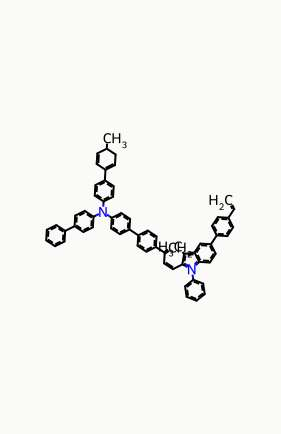 C=Cc1ccc(-c2ccc3c(c2)c(C)c(/C=C\C(=C)c2ccc(-c4ccc(N(c5ccc(C6=CCC(C)C=C6)cc5)c5ccc(-c6ccccc6)cc5)cc4)cc2)n3-c2ccccc2)cc1